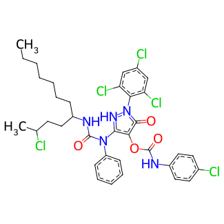 CCCCCCCC(CCC(C)Cl)NC(=O)N(c1ccccc1)c1[nH]n(-c2c(Cl)cc(Cl)cc2Cl)c(=O)c1OC(=O)Nc1ccc(Cl)cc1